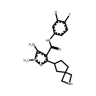 Cn1nc(C2CCC3(CNC3)C2)c(C(=O)Nc2ccc(F)c(Cl)c2)c1N